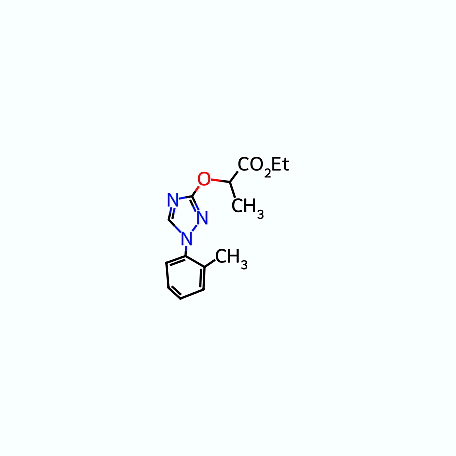 CCOC(=O)C(C)Oc1ncn(-c2ccccc2C)n1